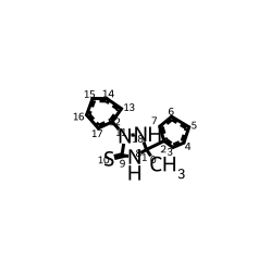 CC1(c2ccccc2)NC(=S)N(c2ccccc2)N1